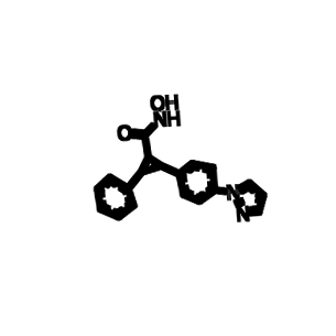 O=C(NO)C1C(c2ccccc2)C1c1ccc(-n2cccn2)cc1